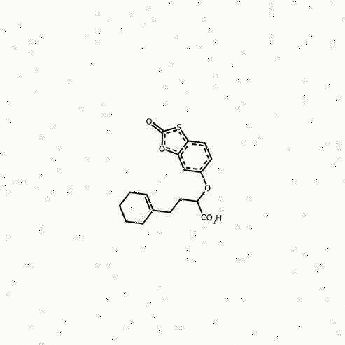 O=C(O)C(CCC1=CCCCC1)Oc1ccc2sc(=O)oc2c1